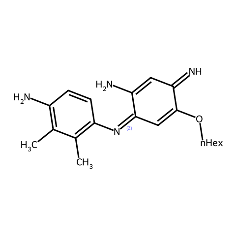 CCCCCCOC1=C/C(=N/c2ccc(N)c(C)c2C)C(N)=CC1=N